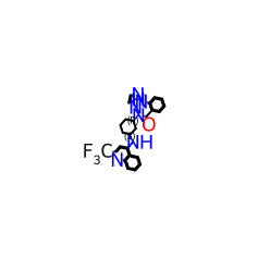 O=C(N[C@@H]1CCC[C@H](Nc2cc(C(F)(F)F)nc3ccccc23)C1)c1ccccc1-n1nccn1